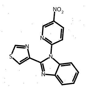 O=[N+]([O-])c1ccc(-n2c(-c3cscn3)nc3ccccc32)nc1